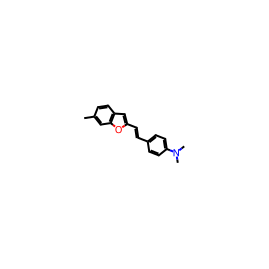 Cc1ccc2cc(C=Cc3ccc(N(C)C)cc3)oc2c1